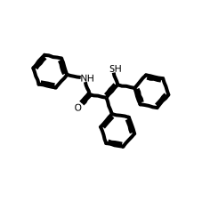 O=C(Nc1ccccc1)C(=C(S)c1ccccc1)c1ccccc1